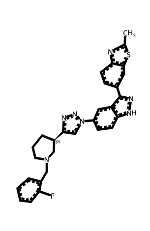 Cc1nc2ccc(-c3n[nH]c4ccc(-n5cc([C@@H]6CCCN(Cc7ccccc7F)C6)nn5)cc34)cc2s1